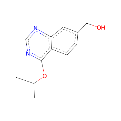 CC(C)Oc1ncnc2cc(CO)ccc12